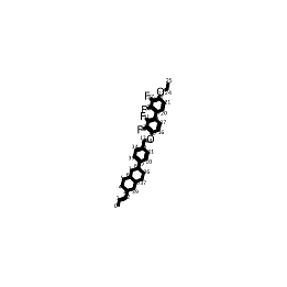 C/C=C/C1CCC2CC(c3ccc(COc4ccc(-c5ccc(OCC)c(F)c5F)c(F)c4F)cc3)CCC2C1